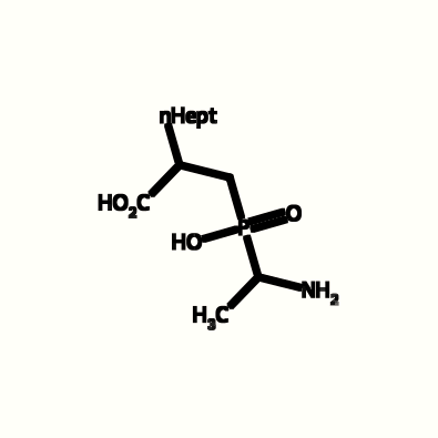 CCCCCCCC(CP(=O)(O)C(C)N)C(=O)O